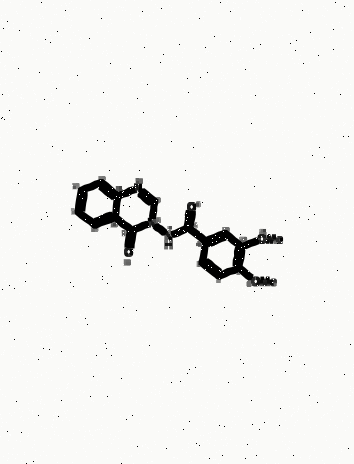 COc1ccc(C(=O)Nn2cnc3ccccc3c2=O)cc1OC